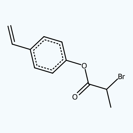 C=Cc1ccc(OC(=O)C(C)Br)cc1